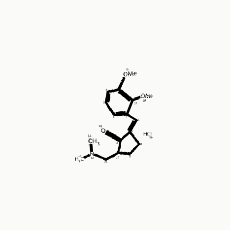 COc1cccc(C=C2CCC(CN(C)C)C2=O)c1OC.Cl